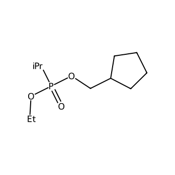 CCOP(=O)(OCC1CCCC1)C(C)C